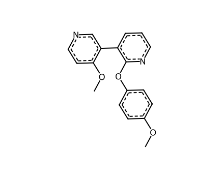 COc1ccc(Oc2ncccc2-c2cnccc2OC)cc1